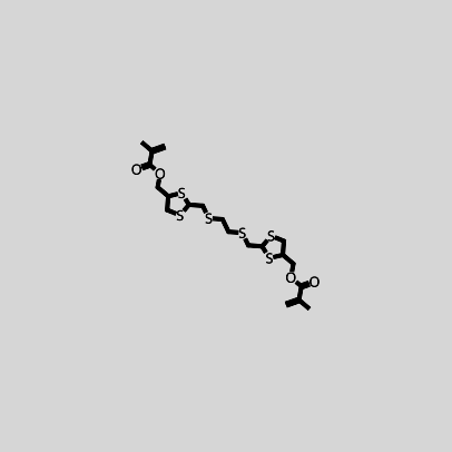 C=C(C)C(=O)OCC1CSC(CSCCSCC2SCC(COC(=O)C(=C)C)S2)S1